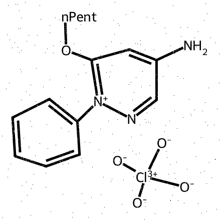 CCCCCOc1cc(N)cn[n+]1-c1ccccc1.[O-][Cl+3]([O-])([O-])[O-]